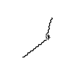 CCCCCCCCCCCCCCCCCC[n+]1ccn(CCCCCCCCCCC)c1